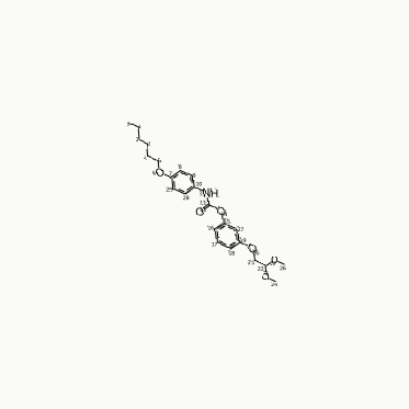 CCCCCCOc1ccc(NC(=O)Oc2cccc(OCC(OC)OC)c2)cc1